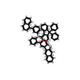 c1ccc(C2(c3ccccc3)c3ccccc3-c3c(N(c4cccc(-c5cccc6ccccc56)c4)c4ccccc4-c4ccc5oc6cc7ccccc7cc6c5c4)cccc32)cc1